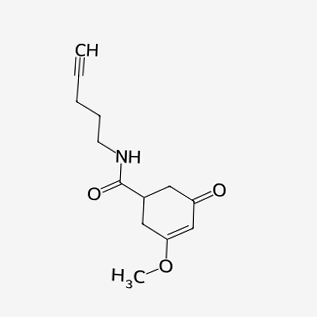 C#CCCCNC(=O)C1CC(=O)C=C(OC)C1